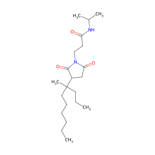 CCCCCCC(C)(CCC)C1CC(=O)N(CCC(=O)NC(C)C)C1=O